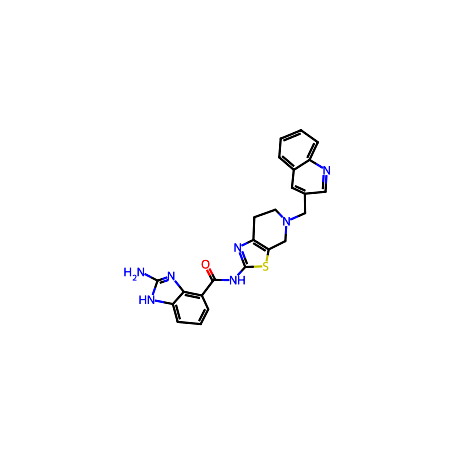 Nc1nc2c(C(=O)Nc3nc4c(s3)CN(Cc3cnc5ccccc5c3)CC4)cccc2[nH]1